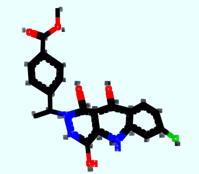 COC(=O)c1ccc(C(C)n2nc(O)c3[nH]c4cc(Cl)ccc4c(=O)c3c2=O)cc1